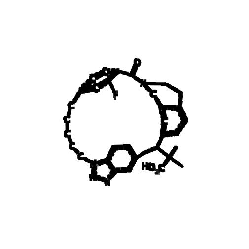 CC(C)(C(=O)O)C1c2ccc3c(c2)CN(CC3)C(=O)c2ccc(cc2F)CCCCCn2nnc3cc1ccc32